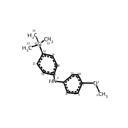 COc1ccc(Nc2ccc([Si](C)(C)C)cc2)cc1